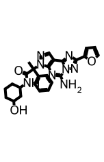 CC(C(=O)NC1CCCC(O)C1)(c1ccccc1)n1ncc2c1nc(N)n1nc(-c3ccco3)nc21